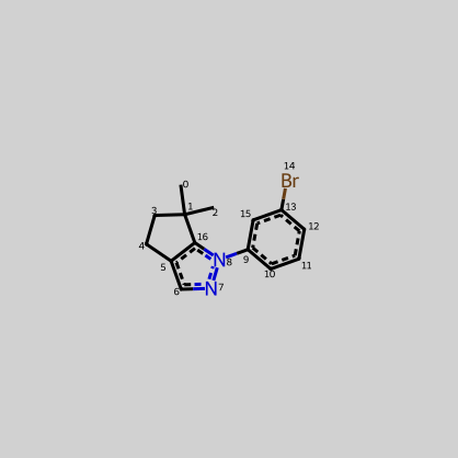 CC1(C)CCc2cnn(-c3cccc(Br)c3)c21